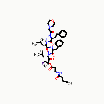 C#CCCC(=O)NCCC(=O)OC(C)(CI)C(=O)[C@H](CC(C)C)NC(=O)[C@H](Cc1ccccc1)NC(=O)[C@H](CC(C)C)NC(=O)[C@H](CCc1ccccc1)NC(=O)CN1CCOCC1